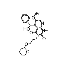 CC(C)Oc1cnc2c(c1C(O)c1ccccc1)c(=O)n(CCCOC1CCCCO1)c(=O)n2C